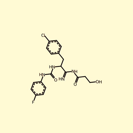 N=C(NC(=O)CCO)C(Cc1ccc(Cl)cc1)NC(=O)Nc1ccc(F)cc1